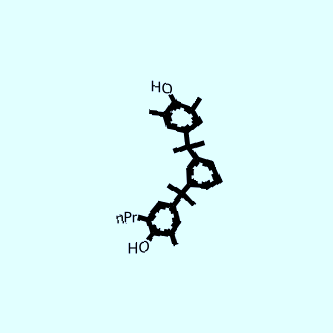 CCCc1cc(C(C)(C)c2cccc(C(C)(C)c3cc(C)c(O)c(C)c3)c2)cc(C)c1O